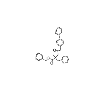 CC(CC(=O)Cc1ccc(-c2ccccc2)cc1)(Cc1ccccc1)C(=O)OCc1ccccc1